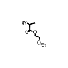 CCOCCOC(=O)C(C)C(C)C